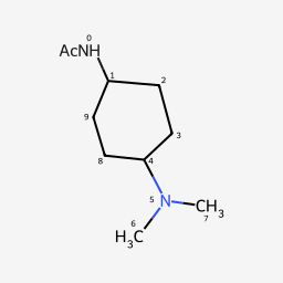 CC(=O)NC1CCC(N(C)C)CC1